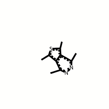 Cc1nnc(C)c2c(C)sc(C)c12